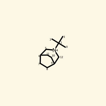 CC(C)(C)N1CC2CCC(CC2)C1